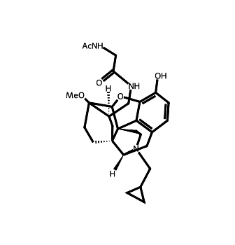 COC12CC[C@@]3(C[C@@H]1CNC(=O)CNC(C)=O)[C@H]1Cc4ccc(O)c5c4[C@@]3(CCN1CC1CC1)C2O5